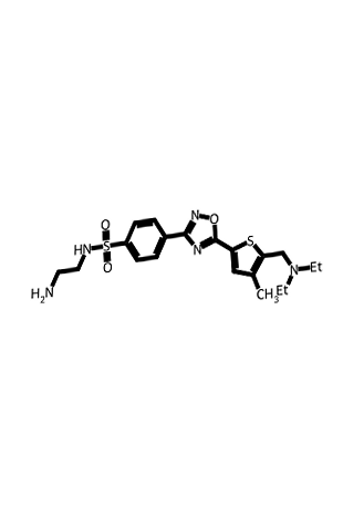 CCN(CC)Cc1sc(-c2nc(-c3ccc(S(=O)(=O)NCCN)cc3)no2)cc1C